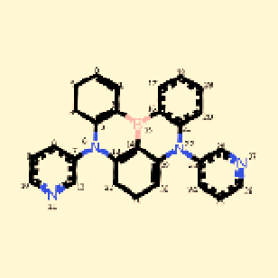 C1=CC2=C(CC1)N(c1cccnc1)C1=C3B2c2ccccc2N(c2cccnc2)C3=CCC1